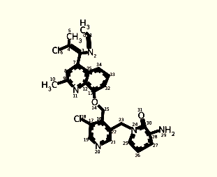 C/C=N\C(=C(/C)Cl)c1cc(C)nc2c(OCc3c(Cl)cncc3Cn3cccc(N)c3=O)cccc12